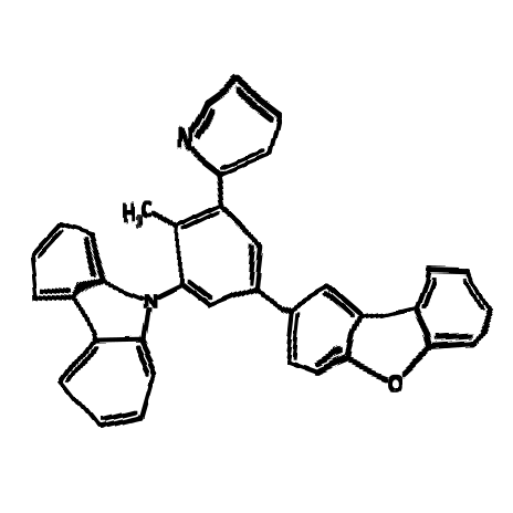 Cc1c(-c2ccccn2)cc(-c2ccc3oc4ccccc4c3c2)cc1-n1c2ccccc2c2ccccc21